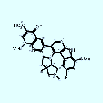 CNc1cc(F)cc2c1[nH]c1ncc(-c3cnc4c(c3)c(=O)c(C(=O)O)cn4NC)c(N3CCC4(C)CN(C)CC34)c12